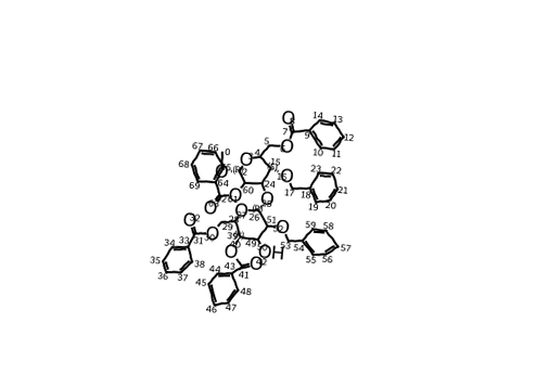 CO[C@@H]1OC(COC(=O)c2ccccc2)[C@H](OCc2ccccc2)C(O[C@H]2OC(COC(=O)c3ccccc3)[C@H](OC(=O)c3ccccc3)C(O)C2OCc2ccccc2)C1OC(=O)c1ccccc1